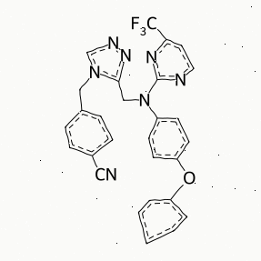 N#Cc1ccc(Cn2cnnc2CN(c2ccc(Oc3ccccc3)cc2)c2nccc(C(F)(F)F)n2)cc1